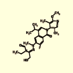 CCN(C=O)/C(CO)=N\N(C)c1cc2c(C(C)C)cn(-c3c(C)cnc(OC)c3C)c(=O)c2cc1F